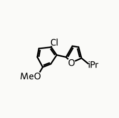 COc1ccc(Cl)c(-c2ccc(C(C)C)o2)c1